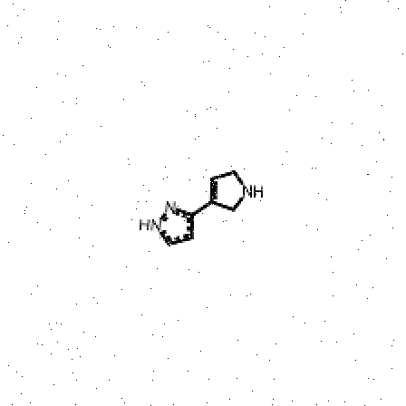 C1=C(c2cc[nH]n2)CNC1